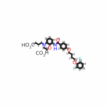 O=C(O)CCCN1CC(C(=O)O)Oc2c(NC(=O)c3ccc(OCCCCOc4c(F)cccc4F)cc3)cccc21